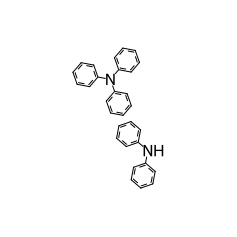 c1ccc(N(c2ccccc2)c2ccccc2)cc1.c1ccc(Nc2ccccc2)cc1